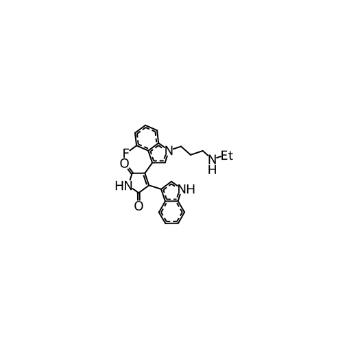 CCNCCCn1cc(C2=C(c3c[nH]c4ccccc34)C(=O)NC2=O)c2c(F)cccc21